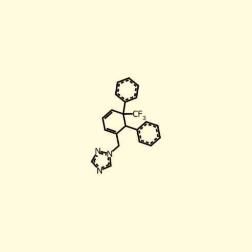 FC(F)(F)C1(c2ccccc2)C=CC=C(Cn2cncn2)C1c1ccccc1